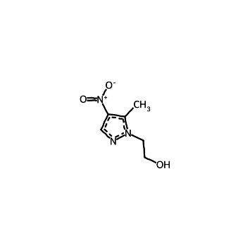 Cc1c([N+](=O)[O-])cnn1CCO